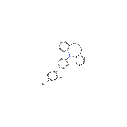 Cc1cc(C#N)ccc1-c1ccc(N2c3ccccc3CCCc3ccccc32)cc1